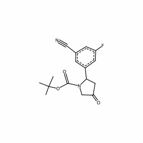 CC(C)(C)OC(=O)N1CC(=O)CC1c1cc(F)cc(C#N)c1